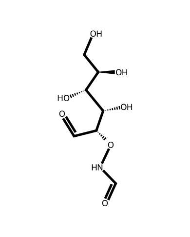 O=CNO[C@H](C=O)[C@@H](O)[C@H](O)[C@H](O)CO